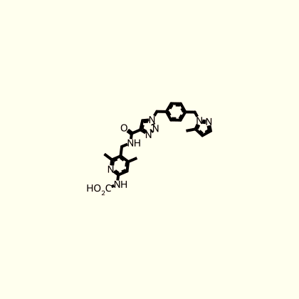 Cc1cc(NC(=O)O)nc(C)c1CNC(=O)c1cn(Cc2ccc(Cn3nccc3C)cc2)nn1